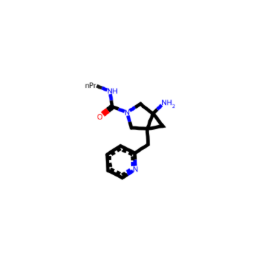 CCCNC(=O)N1CC2(N)CC2(Cc2ccccn2)C1